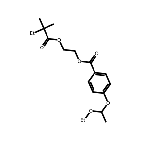 CCOC(C)Oc1ccc(C(=O)OCCOC(=O)C(C)(C)CC)cc1